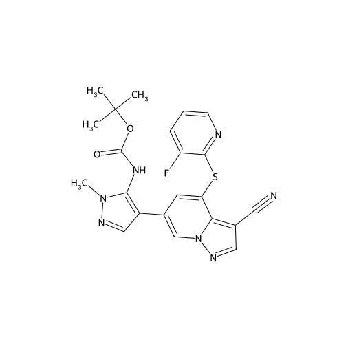 Cn1ncc(-c2cc(Sc3ncccc3F)c3c(C#N)cnn3c2)c1NC(=O)OC(C)(C)C